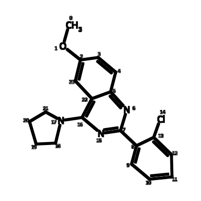 COc1ccc2nc(-c3ccccc3Cl)nc(N3CCCC3)c2c1